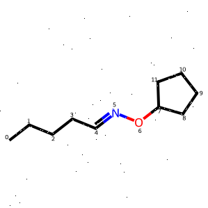 CCCCC=NOC1CCCC1